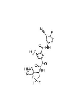 Cn1cc(C(=O)C(=O)NC(CC(F)(F)F)c2cn[nH]n2)cc1C(=O)Nc1ccc(F)c(C#N)c1